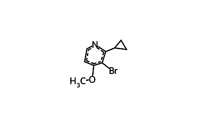 COc1ccnc(C2CC2)c1Br